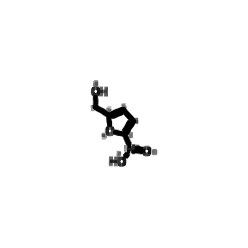 O=[N+](O)c1ccc(CO)o1